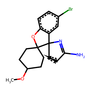 COC1CCC2(CC1)Oc1ccc(Br)cc1C21N=C(N)c2ccccc21